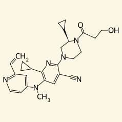 C=Cc1cc(N(C)c2cc(C#N)c(N3CCN(C(=O)CCO)[C@H](C4CC4)C3)nc2C2CC2)ccn1